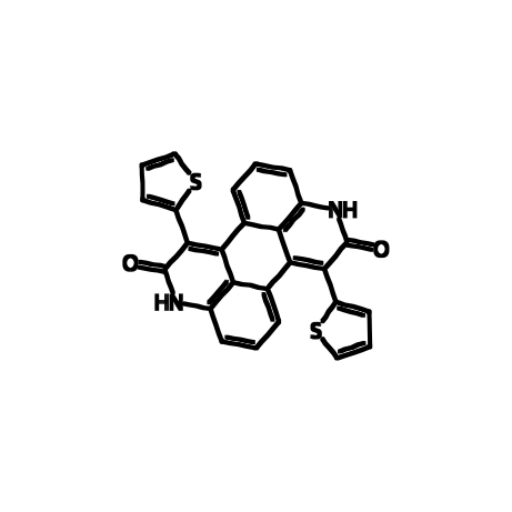 O=c1[nH]c2cccc3c4c(-c5cccs5)c(=O)[nH]c5cccc(c(c1-c1cccs1)c23)c54